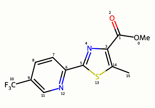 COC(=O)c1nc(-c2ccc(C(F)(F)F)cn2)sc1C